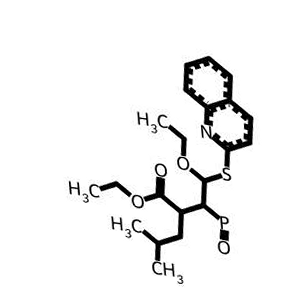 CCOC(=O)C(CC(C)C)C(P=O)C(OCC)Sc1ccc2ccccc2n1